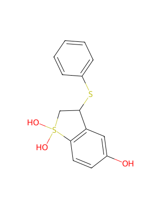 Oc1ccc2c(c1)C(Sc1ccccc1)CS2(O)O